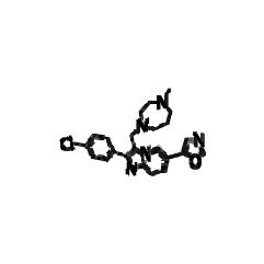 CN1CCCN(Cc2c(-c3ccc(Cl)cc3)nc3ccc(-c4cnco4)cn23)CC1